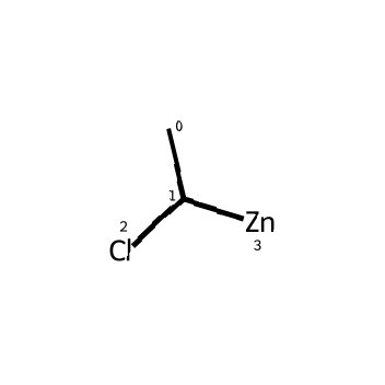 C[CH](Cl)[Zn]